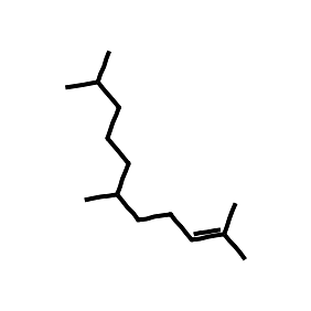 CC(C)=CCCC(C)CCCC(C)C